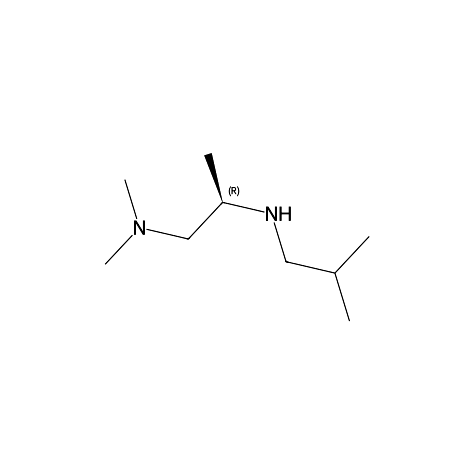 CC(C)CN[C@H](C)CN(C)C